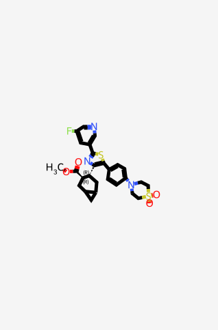 COC(=O)[C@@H]1CC2CC2C[C@H]1c1nc(-c2cncc(F)c2)sc1-c1ccc(N2CCS(=O)(=O)CC2)cc1